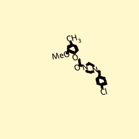 COc1cc(C)ccc1OCC(=O)N1CCN(Cc2ccc(Cl)cc2)CC1